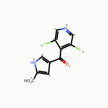 O=C(O)c1cc(C(=O)c2c(F)cncc2F)c[nH]1